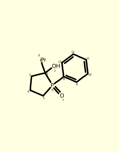 CC(C)C1(O)CCCP1(=O)c1ccccc1